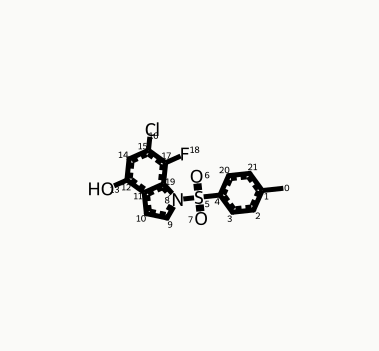 Cc1ccc(S(=O)(=O)n2ccc3c(O)cc(Cl)c(F)c32)cc1